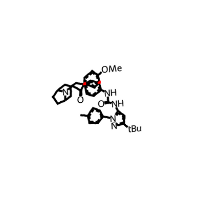 COc1ccc(C(=O)CN2C3CCC2CC(Cc2ccc(NC(=O)Nc4cc(C(C)(C)C)nn4-c4ccc(C)cc4)cc2)C3)cc1